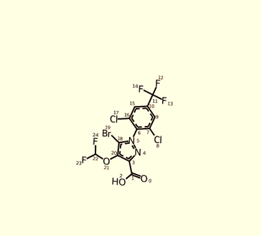 O=C(O)c1nn(-c2c(Cl)cc(C(F)(F)F)cc2Cl)c(Br)c1OC(F)F